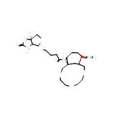 [N-]=[N+]=N[C@]12CCCC[C@@](NC(=O)CCCC[C@H]3SC[C@H]4NC(=O)NC43)(COCCOCCOC1)C2